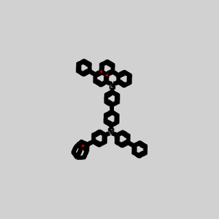 c1ccc(-c2ccc(N(c3ccc(-c4ccc(N(c5ccc(-c6ccccc6)cc5)c5ccccc5-c5ccccc5)cc4)cc3)c3ccc(C45CC6CC(CC4C6)C5)cc3)cc2)cc1